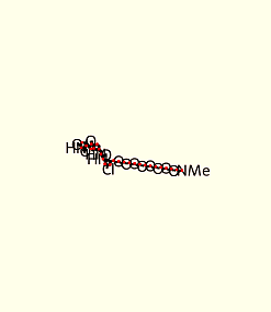 CNCCOCCOCCOCCOCCOCCOCCOCCOCCc1cc(Cl)cc(NC(=O)NCc2ccc3c(c2)CN(C2CCC(=O)NC2=O)C3=O)c1